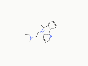 CCN(C)CCNC(C)c1ccccc1-c1ccccn1